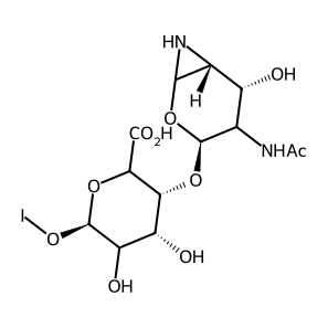 CC(=O)NC1[C@@H](O[C@H]2C(C(=O)O)O[C@H](OI)C(O)[C@H]2O)OC2N[C@@H]2[C@@H]1O